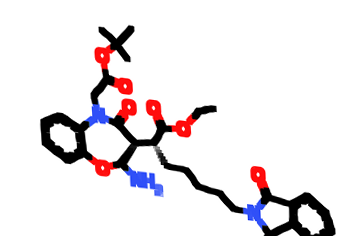 CCOC(=O)[C@H](CCCCCN1C(=O)c2ccccc2C1=O)[C@@H]1C(=O)N(CC(=O)OC(C)(C)C)c2ccccc2OC1N